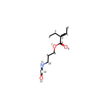 C/C=C(\CC)C(=O)OCCCN=C=O